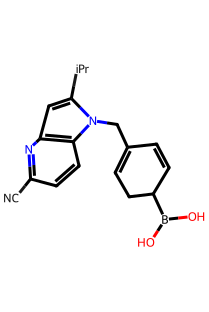 CC(C)c1cc2nc(C#N)ccc2n1CC1=CCC(B(O)O)C=C1